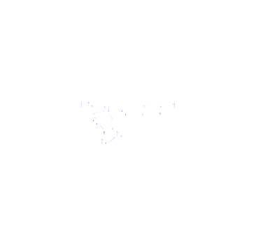 CCC(CO)Nc1nc(N(C)Cc2ccc(P)cc2)c2ncn(C(C)C)c2n1